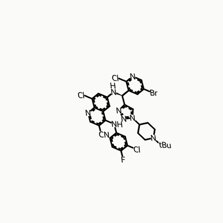 CC(C)(C)N1CCC(n2cc([C@@H](Nc3cc(Cl)c4ncc(C#N)c(Nc5ccc(F)c(Cl)c5)c4c3)c3cc(Br)cnc3Cl)nn2)CC1